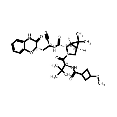 COC1CC(C(=O)N[C@H](C(=O)N2C[C@H]3[C@@H]([C@H]2C(=O)N[C@H](C#N)C[C@@H]2Oc4ccccc4NC2=O)C3(C)C)C(C)(C)C)C1